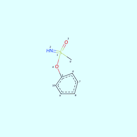 CS(=N)(=O)Oc1ccccc1